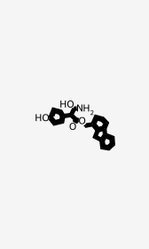 NC(O)C(C(=O)OCc1cccc2c1Cc1ccccc1-2)c1ccc(O)cc1